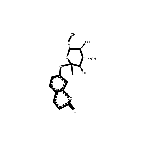 CC1(Oc2ccc3ccc(=O)oc3c2)O[C@H](CO)[C@@H](O)[C@H](O)[C@H]1O